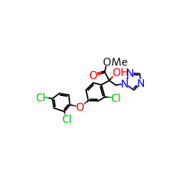 COC(=O)C(O)(Cn1cncn1)c1ccc(Oc2ccc(Cl)cc2Cl)cc1Cl